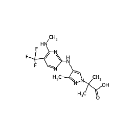 CNc1nc(Nc2cn(C(C)(C)C(=O)O)nc2C)ncc1C(F)(F)F